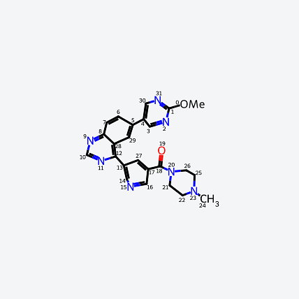 COc1ncc(-c2ccc3ncnc(-c4cncc(C(=O)N5CCN(C)CC5)c4)c3c2)cn1